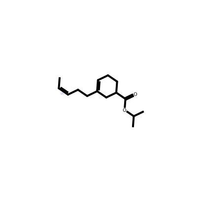 C/C=C\CCC1=CCCC(C(=O)OC(C)C)C1